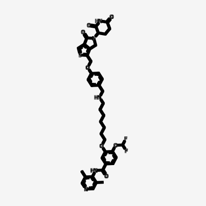 Cc1cncc(C)c1NC(=O)c1ccc(OC(F)F)c(OCCCCCCCNCc2ccc(OCc3scc4c3CN(C3CCC(=O)NC3=O)C4=O)cc2)c1